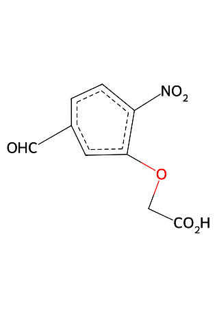 O=Cc1ccc([N+](=O)[O-])c(OCC(=O)O)c1